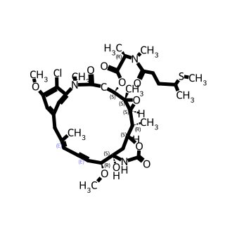 COc1cc2cc(c1Cl)N(C)C(=O)C[C@H](OC(=O)[C@@H](C)N(C)C(=O)CCC(C)SC)[C@]1(C)O[C@H]1[C@H](C)[C@@H]1C[C@@](O)(NC(=O)O1)[C@H](OC)/C=C/C=C(\C)C2